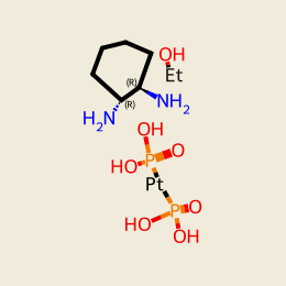 CCO.N[C@@H]1CCCC[C@H]1N.O=[P](O)(O)[Pt][P](=O)(O)O